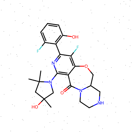 CC1(O)CN(c2nc(-c3c(O)cccc3F)c(F)c3c2C(=O)N2CCNCC2CO3)C(C)(C)C1